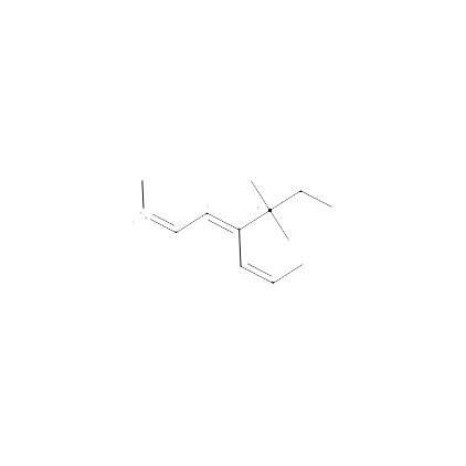 C\C=C/C(=C\C=N/C)C(C)(C)CC